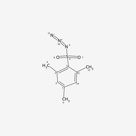 Cc1cc(C)c(S(=O)(=O)N=[N+]=[N-])c(C)c1